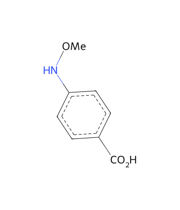 CONc1ccc(C(=O)O)cc1